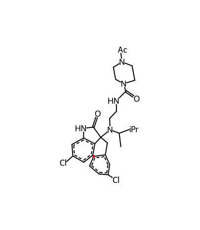 CC(=O)N1CCN(C(=O)NCCN(C(C)C(C)C)C2(Cc3cccc(Cl)c3)C(=O)Nc3cc(Cl)ccc32)CC1